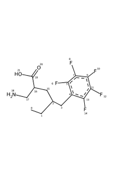 CCC(Cc1c(F)c(F)c(F)c(F)c1F)CC(CN)C(=O)O